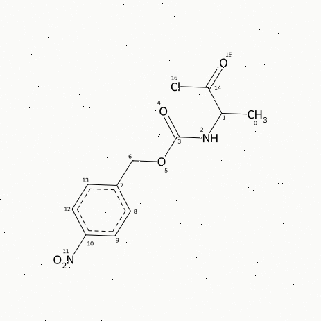 CC(NC(=O)OCc1ccc([N+](=O)[O-])cc1)C(=O)Cl